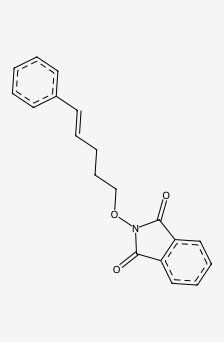 O=C1c2ccccc2C(=O)N1OCCCC=Cc1ccccc1